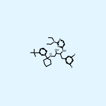 CCN(CC)c1nccc(NC(Cc2cc(F)cc(F)c2)C(O)CNC2(c3cccc(C(C)(C)C)c3)CCCCC2)n1